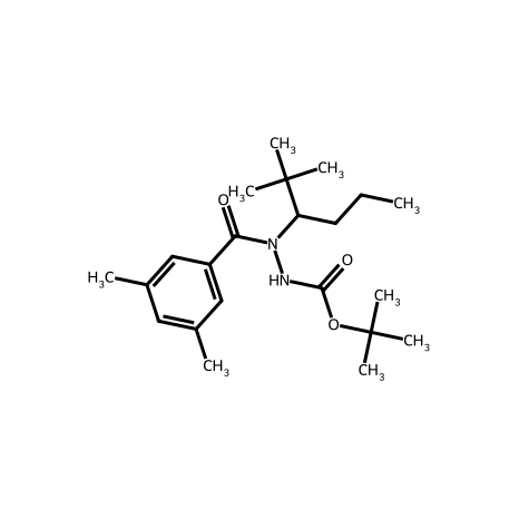 CCCC(N(NC(=O)OC(C)(C)C)C(=O)c1cc(C)cc(C)c1)C(C)(C)C